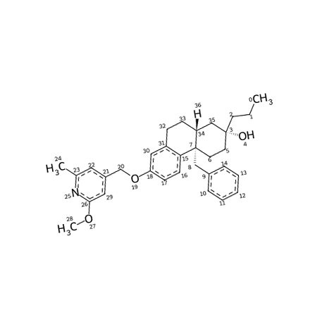 CCC[C@@]1(O)CC[C@@]2(Cc3ccccc3)c3ccc(OCc4cc(C)nc(OC)c4)cc3CC[C@@H]2C1